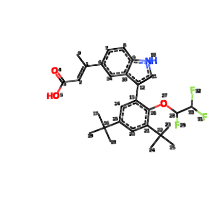 CC(=CC(=O)O)c1ccc2[nH]cc(-c3cc(C(C)(C)C)cc(C(C)(C)C)c3OC(F)C(F)F)c2c1